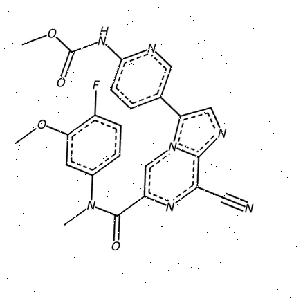 COC(=O)Nc1ccc(-c2cnc3c(C#N)nc(C(=O)N(C)c4ccc(F)c(OC)c4)cn23)cn1